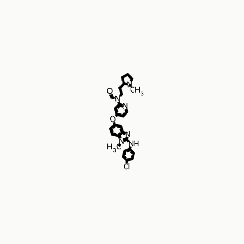 CN1CCCC1CCN(C=O)c1cc(Oc2ccc3c(c2)nc(Nc2ccc(Cl)cc2)n3C)ccn1